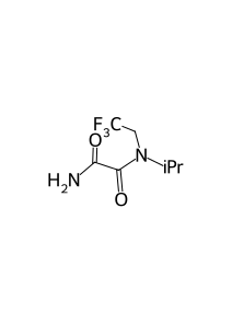 CC(C)N(CC(F)(F)F)C(=O)C(N)=O